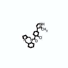 CN1NC=CC1c1ccc(C(=O)N2Cc3cccn3Cc3ccccc32)c(Cl)c1